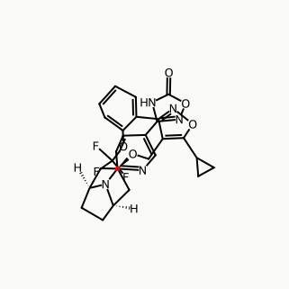 O=c1[nH]c(-c2ccc(N3[C@@H]4CC[C@H]3C[C@@H](OCc3c(-c5ccccc5OC(F)(F)F)noc3C3CC3)C4)nc2)no1